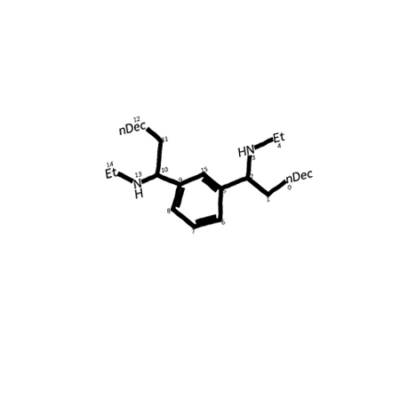 CCCCCCCCCCCC(NCC)c1cccc(C(CCCCCCCCCCC)NCC)c1